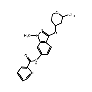 CC1CC(Oc2nn(C)c3cc(NC(=O)c4ccccn4)ccc23)CCO1